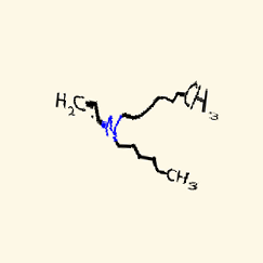 C=C[CH]N(CCCCCC)CCCCCC